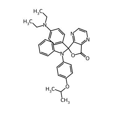 CCN(CC)c1ccc(C2(N(c3ccccc3)c3ccc(OC(C)C)cc3)OC(=O)c3nccnc32)cc1